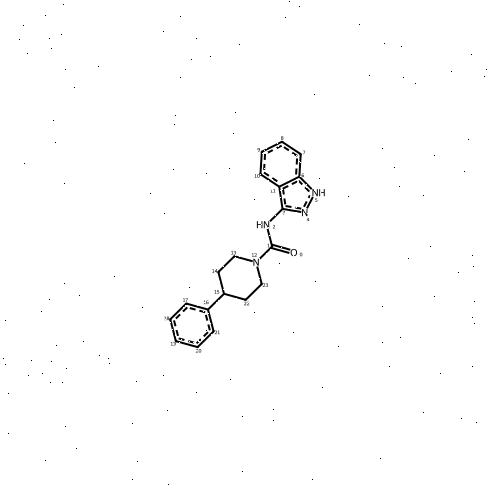 O=C(Nc1n[nH]c2ccccc12)N1CCC(c2ccccc2)CC1